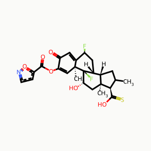 CC1C[C@H]2[C@H]3C[C@H](F)C4=CC(=O)C(OC(=O)c5ccno5)=C[C@]4(C)[C@@]3(F)[C@@H](O)C[C@]2(C)[C@@H]1C(O)=S